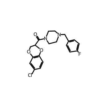 O=C(C1COc2cc(Cl)ccc2O1)N1CCN(Cc2ccc(F)cc2)CC1